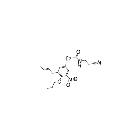 C/C=C/Cc1cc([C@@H]2C[C@@H]2C(=O)NCCC#N)cc([N+](=O)[O-])c1OCCC